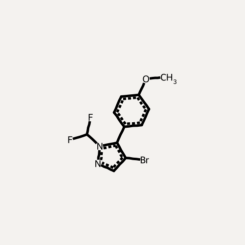 COc1ccc(-c2c(Br)cnn2C(F)F)cc1